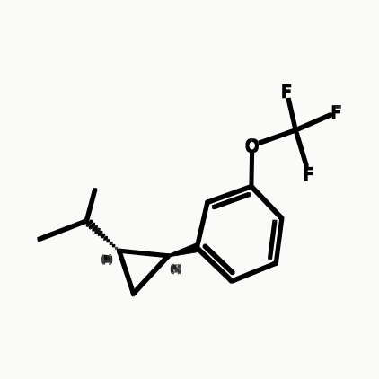 CC(C)[C@H]1C[C@@H]1c1cccc(OC(F)(F)F)c1